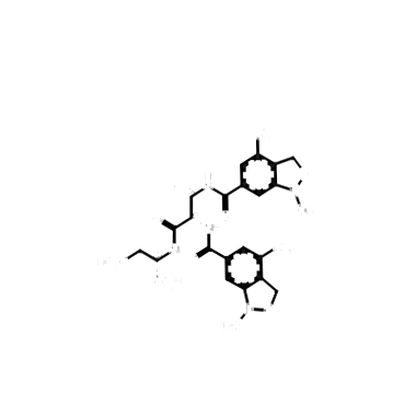 C[C@H](NC(=O)c1cc2c(c(C(F)(F)F)c1)COB2O)[C@H](NC(=O)c1cc2c(c(C(F)(F)F)c1)COB2O)C(=O)N[C@@H](CC(=O)O)C(=O)O